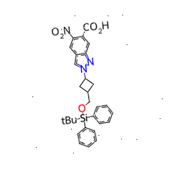 CC(C)(C)[Si](OCC1CC(n2cc3cc([N+](=O)[O-])c(C(=O)O)cc3n2)C1)(c1ccccc1)c1ccccc1